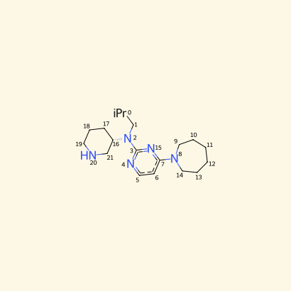 CC(C)CN(c1nccc(N2CCCCCC2)n1)[C@H]1CCCNC1